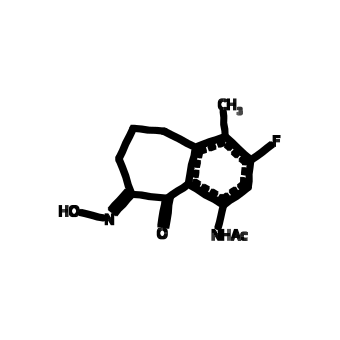 CC(=O)Nc1cc(F)c(C)c2c1C(=O)C(=NO)CCC2